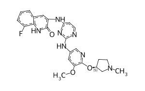 COc1cc(Nc2nccc(Nc3cc4cccc(F)c4[nH]c3=O)n2)cnc1O[C@H]1CCN(C)C1